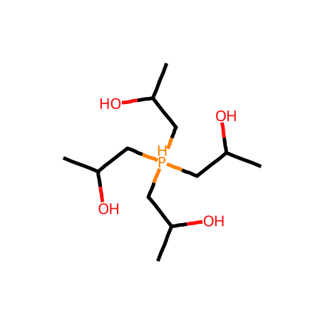 CC(O)C[PH](CC(C)O)(CC(C)O)CC(C)O